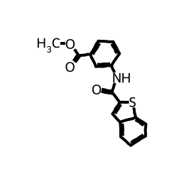 COC(=O)c1cccc(NC(=O)c2cc3ccccc3s2)c1